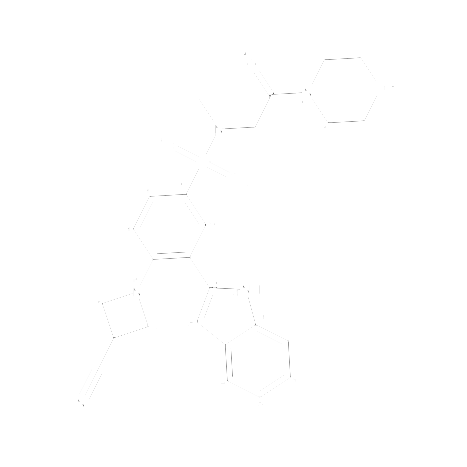 CN(CC(=O)N1CCOCC1)S(=O)(=O)c1ccc(N2CC(C#N)C2)c(-c2cc3ccccc3[nH]2)c1